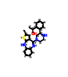 Cc1cc2c(s1)Nc1ccccc1N=C2N1CCNC(c2ccccc2C(C)O)C1